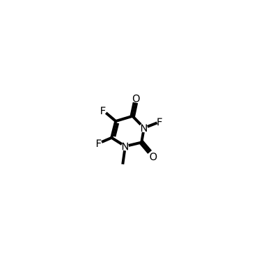 Cn1c(F)c(F)c(=O)n(F)c1=O